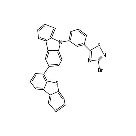 Brc1nsc(-c2cccc(-n3c4ccccc4c4cc(-c5cccc6c5sc5ccccc56)ccc43)c2)n1